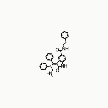 CN(C)CN(/C(=C1\C(=O)Nc2ccc(C(=O)NCCc3ccccc3)cc21)c1ccccc1)c1ccccc1